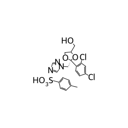 Cc1ccc(S(=O)(=O)O)cc1.OCC1CO[C@](Cn2cncn2)(c2ccc(Cl)cc2Cl)O1